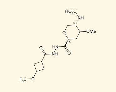 COC1C[C@@H](C(=O)NNC(=O)C2CC(OC(F)(F)F)C2)OC[C@@H]1NC(=O)O